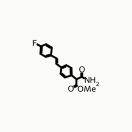 COC(=O)C(C(N)=O)c1ccc(C=Cc2ccc(F)cc2)cc1